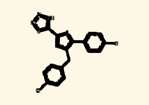 Clc1ccc(Cc2cc(-c3nnn[nH]3)sc2-c2ccc(Cl)cc2)cc1